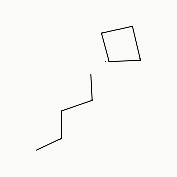 CCCCC.[CH]1CCC1